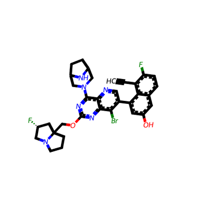 C#Cc1c(F)ccc2cc(O)cc(-c3cnc4c(N5CC6CCC(C5)N6)nc(OCC56CCCN5C[C@H](F)C6)nc4c3Br)c12